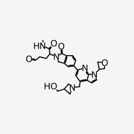 CNC(=O)C(CCC=O)N1Cc2cc(-c3cc(CN4CC(CO)C4)c4ccn(C5COC5)c4n3)ccc2C1=O